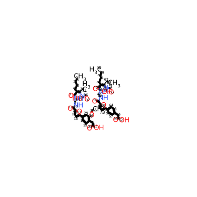 CCCCCC(C(=O)NCNC(=O)c1ccc(-c2ccc(CC(=O)O)c(OCC)c2)o1)[C@@H](CC)N(O)C=O.CCCCCC(C(=O)NCNC(=O)c1ccc(-c2ccc(CC(=O)O)cc2)o1)[C@@H](CC)N(O)C=O